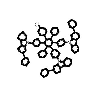 Clc1ccc(-c2c(-c3ccccc3)c(-c3ccc(-n4c5ccccc5c5ccc(-c6ccccc6)cc54)cc3)c(-c3ccc(-n4c5ccccc5c5ccc(-c6ccccc6)cc54)cc3)c(-c3ccccc3)c2-c2ccc(-n3c4ccccc4c4ccc(-c5ccccc5)cc43)cc2)cc1